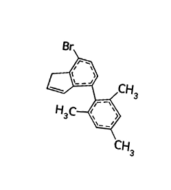 Cc1cc(C)c(-c2ccc(Br)c3c2C=CC3)c(C)c1